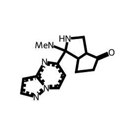 CNC1(c2ccn3nccc3n2)NCC2C(=O)CCC21